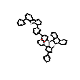 Fc1cc(-c2ccccc2)cc(-c2ccccc2)c1N(c1ccc(-c2cccc(-c3cccc4c3oc3c(-c5ccccc5)cccc34)c2)cc1)c1cc2ccccc2c2ccccc12